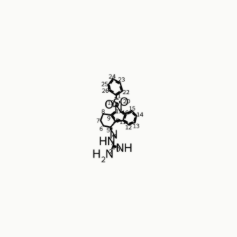 N=C(N)N/N=C1\CCCc2c1c1ccccc1n2S(=O)(=O)c1ccccc1